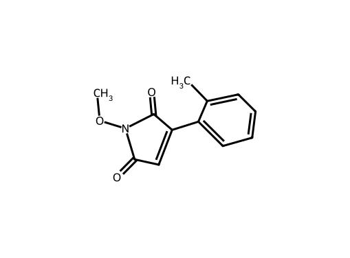 CON1C(=O)C=C(c2ccccc2C)C1=O